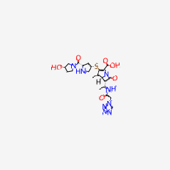 CC(NC(=O)Cn1cnnn1)[C@H]1C(=O)N2C(C(=O)O)=C(S[C@@H]3CN[C@H](C(=O)N4CC[C@@H](O)C4)C3)[C@H](C)[C@H]12